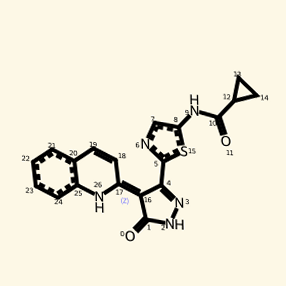 O=C1NN=C(c2ncc(NC(=O)C3CC3)s2)/C1=C1\C=Cc2ccccc2N1